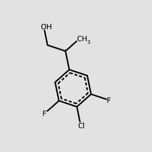 C[C](CO)c1cc(F)c(Cl)c(F)c1